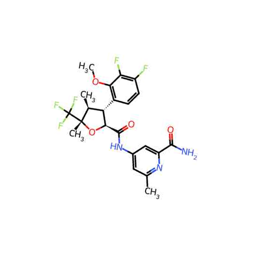 COc1c([C@@H]2[C@@H](C(=O)Nc3cc(C)nc(C(N)=O)c3)O[C@](C)(C(F)(F)F)[C@H]2C)ccc(F)c1F